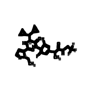 CCn1nccc1C(=O)N[C@H](C(=O)Nc1c(F)cc(C(C)C(=O)NCC(F)(F)F)cc1F)C(C1CC1)C1CC1